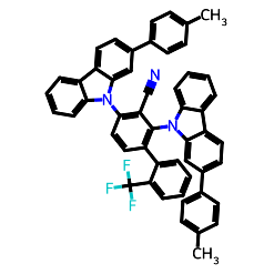 Cc1ccc(-c2ccc3c4ccccc4n(-c4ccc(-c5ccccc5C(F)(F)F)c(-n5c6ccccc6c6ccc(-c7ccc(C)cc7)cc65)c4C#N)c3c2)cc1